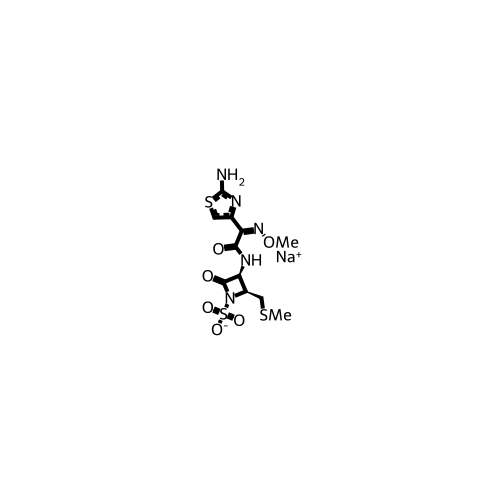 CON=C(C(=O)N[C@@H]1C(=O)N(S(=O)(=O)[O-])[C@@H]1CSC)c1csc(N)n1.[Na+]